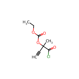 C#CC(C)(OC(=O)OCC)C(=O)Cl